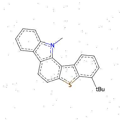 Cn1c2ccccc2c2ccc3sc4c(C(C)(C)C)cccc4c3c21